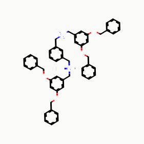 C[N+](C)(Cc1cccc(C[N+](C)(C)Cc2cc(OCc3ccccc3)cc(OCc3ccccc3)c2)c1)Cc1cc(OCc2ccccc2)cc(OCc2ccccc2)c1